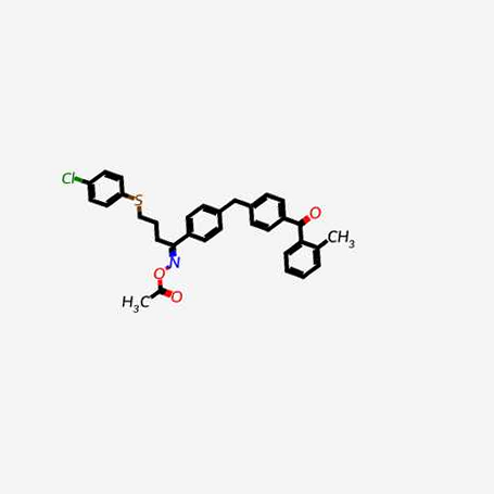 CC(=O)O/N=C(\CCCSc1ccc(Cl)cc1)c1ccc(Cc2ccc(C(=O)c3ccccc3C)cc2)cc1